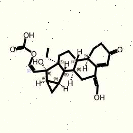 CC[C@]12CC[C@H]3[C@@H](CC(=CO)C4=CC(=O)CC[C@@H]43)[C@@H]1[C@H]1C[C@H]1[C@@]2(O)/C=C\OC(=O)O